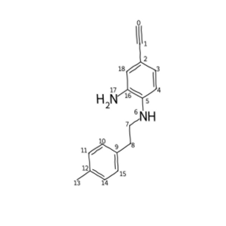 C#Cc1ccc(NCCc2ccc(C)cc2)c(N)c1